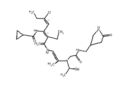 C=C(NC=C(C)N(CC(=O)NCC1CNC(=O)C1)C(C)O)/C(CC)=C(/C=C(/Cl)CC)NC(=O)C1CC1